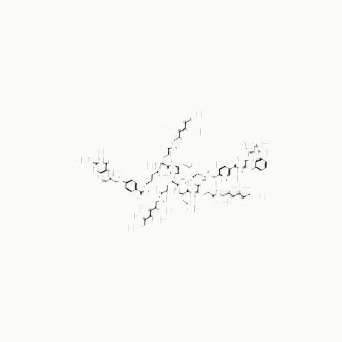 CC(C)C[C@H](NC(=O)[C@H](Cc1ccccc1)NC(=O)c1ccc(CSSC[C@@H](C)NC(=O)[C@H](CCC(=O)NC[C@H](O)[C@@H](O)[C@H](O)[C@H](O)CO)NC(=O)[C@H](CCC(=O)O)NC(=O)[C@H](CCC(=O)NC[C@H](O)[C@@H](O)[C@H](O)[C@H](O)CO)NC(=O)[C@H](CCC(=O)O)NC(=O)[C@H](CCC(=O)NC[C@H](O)[C@@H](O)[C@H](O)[C@H](O)CO)NC(=O)CC[C@@H](C)NC(=O)c2ccc(NCc3cnc4nc(N)[nH]c(=O)c4n3)cc2)nc1)B(O)O